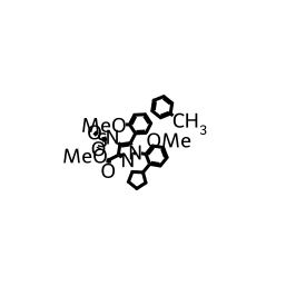 COC(=O)c1nn(-c2ccccc2C2CCCC2)c(-c2c(OC)cccc2OC)c1N=S(=O)=O.Cc1ccccc1